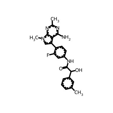 Cc1cccc(C(O)C(=O)Nc2ccc(-c3cn(C)c4nc(C)nc(N)c34)c(F)c2)c1